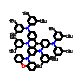 CC(C)(C)c1cc(N(c2cc(C(C)(C)C)cc(C(C)(C)C)c2)c2ccc3c(c2)N(c2cc(C(C)(C)C)cc(C(C)(C)C)c2)c2cc(N4c5ccccc5Oc5ccccc54)cc4c2B3c2ccc(N(c3cc(C(C)(C)C)cc(C(C)(C)C)c3)c3cc(C(C)(C)C)cc(C(C)(C)C)c3)cc2N4c2cc(C(C)(C)C)cc(C(C)(C)C)c2)cc(C(C)(C)C)c1